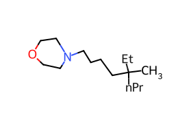 CCCC(C)(CC)CCCCN1CCOCC1